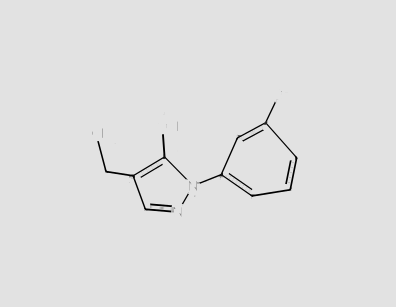 [CH2]Cc1cnn(-c2cccc(Br)c2)c1O